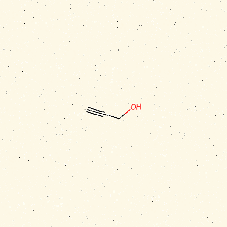 [C]#CCO